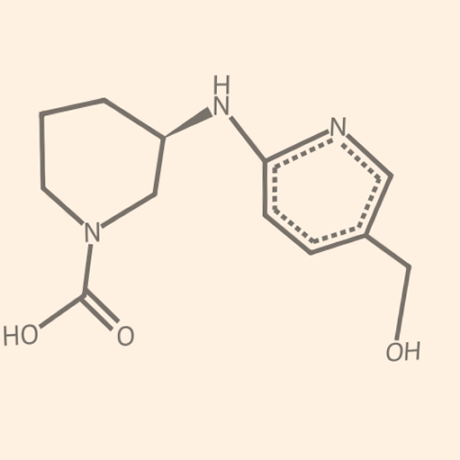 O=C(O)N1CCC[C@@H](Nc2ccc(CO)cn2)C1